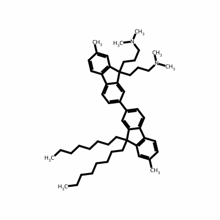 CCCCCCCCC1(CCCCCCCC)c2cc(C)ccc2-c2ccc(-c3ccc4c(c3)C(CCCN(C)C)(CCCN(C)C)c3cc(C)ccc3-4)cc21